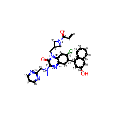 C=CC(=O)N1CC(Cn2c(=O)c(NCc3ncccn3)nc3cc(-c4cc(O)cc5ccccc45)c(Cl)cc32)C1